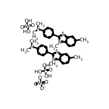 Cc1ccc2c(c1)sc(-c1ccc(N(C)C)cc1)[n+]2C.Cc1ccc2c(c1)sc(-c1ccc(N(C)C)cc1)[n+]2C.O=P(O)(O)O.[O]=[Mo](=[O])([O-])[O-].[O]=[W](=[O])([OH])[OH]